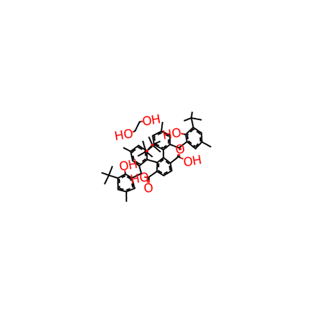 Cc1cc(Cc2cc(C)cc(C(C)(C)C)c2-c2c(C(=O)O)ccc(C(=O)O)c2-c2c(Cc3cc(C)cc(C(C)(C)C)c3O)cc(C)cc2C(C)(C)C)c(O)c(C(C)(C)C)c1.OCCO